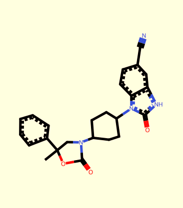 CC1(c2ccccc2)CN(C2CCC(n3c(=O)[nH]c4cc(C#N)ccc43)CC2)C(=O)O1